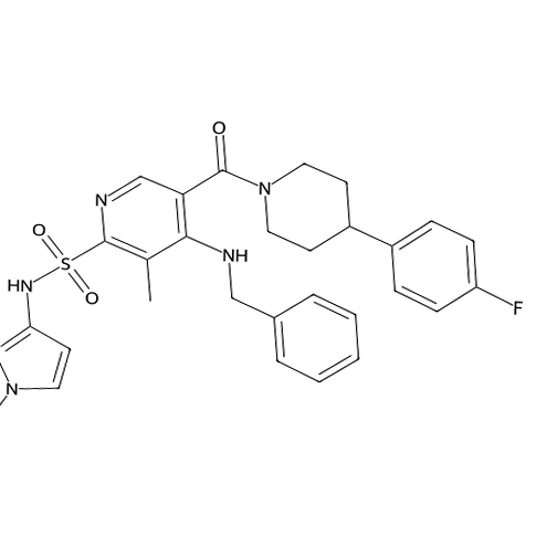 Cc1c(S(=O)(=O)Nc2ccn(C)n2)ncc(C(=O)N2CCC(c3ccc(F)cc3)CC2)c1NCc1ccccc1